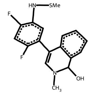 CSNc1cc(C2=CN(C)C(O)c3ccccc32)c(F)cc1F